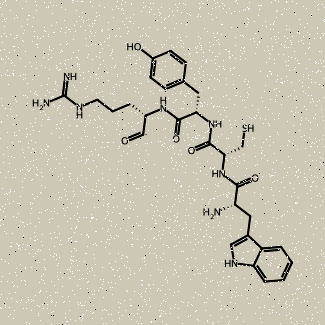 N=C(N)NCCC[C@@H]([C]=O)NC(=O)[C@H](Cc1ccc(O)cc1)NC(=O)[C@H](CS)NC(=O)[C@@H](N)Cc1c[nH]c2ccccc12